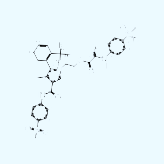 Cc1c(C(=O)Nc2ccc(S(C)(=O)=O)cc2)cn(CCOC(=O)C(=O)Nc2ccc(S(C)(=O)=O)cc2)c1C1=C(C(F)(F)F)C=CCC1